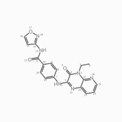 CCn1c(=O)c(Nc2ccc(C(=O)Nc3ccon3)cc2)nc2cccnc21